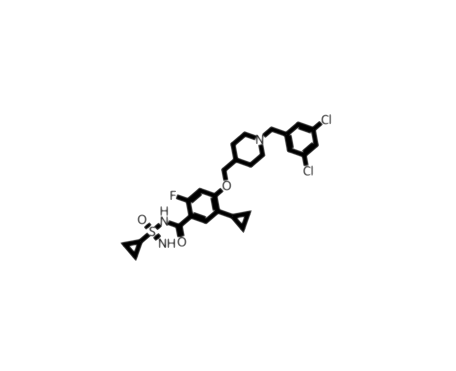 N=S(=O)(NC(=O)c1cc(C2CC2)c(OCC2CCN(Cc3cc(Cl)cc(Cl)c3)CC2)cc1F)C1CC1